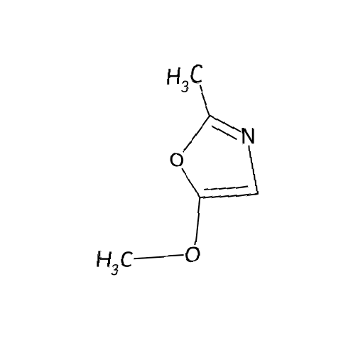 COc1cnc(C)o1